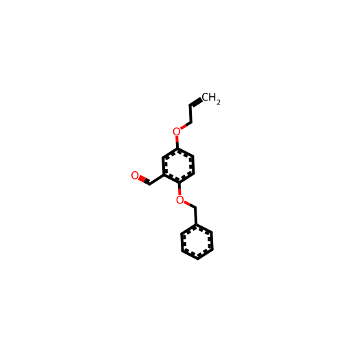 C=CCOc1ccc(OCc2ccccc2)c(C=O)c1